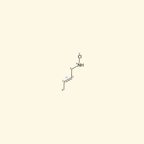 C/C=C/CNCl